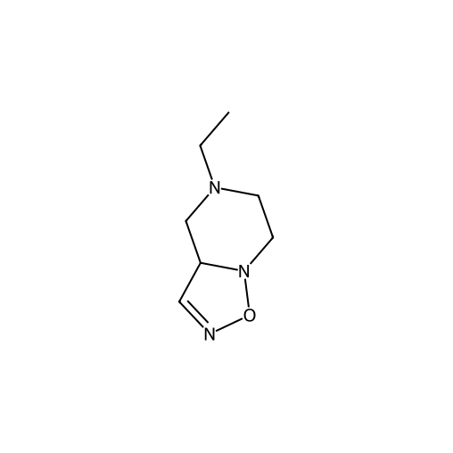 CCN1CCN2ON=CC2C1